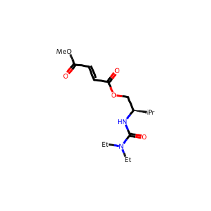 CCN(CC)C(=O)N[C@@H](COC(=O)/C=C/C(=O)OC)C(C)C